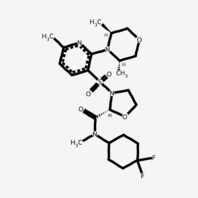 Cc1ccc(S(=O)(=O)N2CCO[C@@H]2C(=O)N(C)C2CCC(F)(F)CC2)c(N2[C@@H](C)COC[C@@H]2C)n1